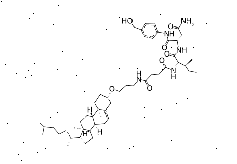 CC[C@H](C)[C@H](NC(=O)CCC(=O)NCCCO[C@H]1CC[C@@]2(C)C(=CC[C@H]3[C@@H]4CC[C@H]([C@H](C)CCCC(C)C)[C@@]4(C)CC[C@@H]32)C1)C(=O)N[C@@H](CC(N)=O)C(=O)Nc1ccc(CO)cc1